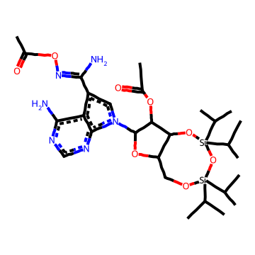 CC(=O)ON=C(N)c1cn(C2OC3CO[Si](C(C)C)(C(C)C)O[Si](C(C)C)(C(C)C)OC3C2OC(C)=O)c2ncnc(N)c12